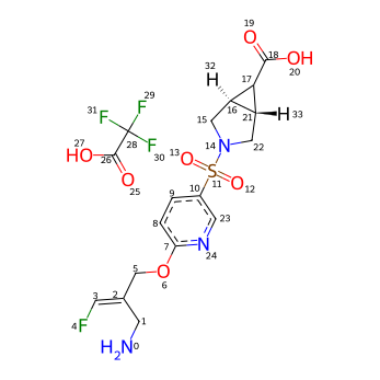 NC/C(=C\F)COc1ccc(S(=O)(=O)N2C[C@H]3C(C(=O)O)[C@@H]3C2)cn1.O=C(O)C(F)(F)F